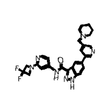 O=C(Nc1ccnc(N2CC(F)(F)C2)c1)c1n[nH]c2ccc(-c3cncc(CN4CCCCC4)c3)cc12